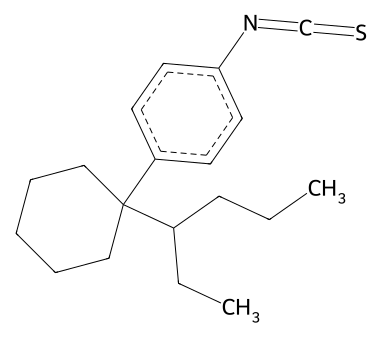 CCCC(CC)C1(c2ccc(N=C=S)cc2)CCCCC1